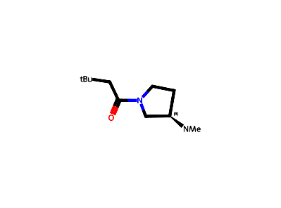 CN[C@@H]1CCN(C(=O)CC(C)(C)C)C1